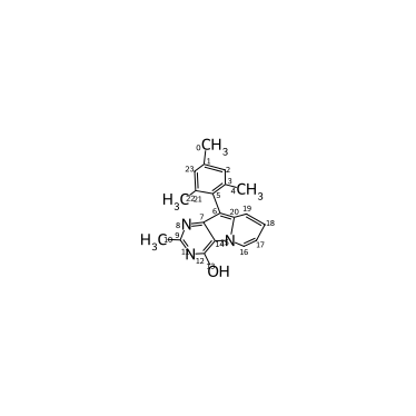 Cc1cc(C)c(-c2c3nc(C)nc(O)c3n3ccccc23)c(C)c1